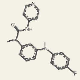 CC(C(=O)Nc1ccncc1)c1cccc(Nc2ccc(F)cc2)c1